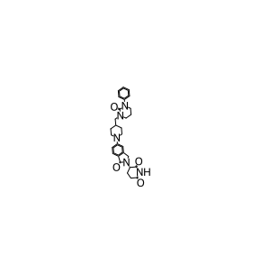 O=C1CCC(N2Cc3cc(N4CCC(CN5CCCN(c6ccccc6)C5=O)CC4)ccc3C2=O)C(=O)N1